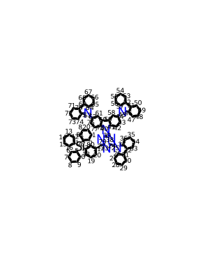 c1ccc([Si](c2ccccc2)(c2ccccc2)c2cccc(-c3nc(-n4c5ccccc5c5ccccc54)nc(-n4c5ccc(-n6c7ccccc7c7ccccc76)cc5c5cc(-n6c7ccccc7c7ccccc76)ccc54)n3)c2)cc1